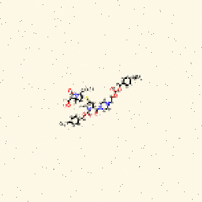 C[C@@H](O)[C@H]1C(=O)N2C(C(=O)O)=C(S[C@@H]3C[C@H](C(=O)N4CCN(CCOC(=O)OCc5ccc([N+](=O)[O-])cc5)CC4)N(C(=O)OCc4ccc([N+](=O)[O-])cc4)C3)[C@H](C)[C@H]12